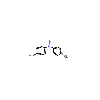 CCN(c1ccc(C)cc1)c1ccc([N+](=O)[O-])cc1